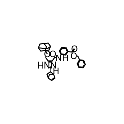 O=C(OCc1ccccc1)c1cccc(NC(=O)c2nc([C@@H]3CC4C=C[C@H]3C4)[nH]c2COC23CC4CC(CC(C4)C2)C3)c1